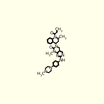 C=CC(=O)N1c2ccccc2[C@@H](N2Cc3cnc(Nc4ccc(N5CCN(C)CC5)cc4)nc3N(C)C2=O)C[C@@H]1C